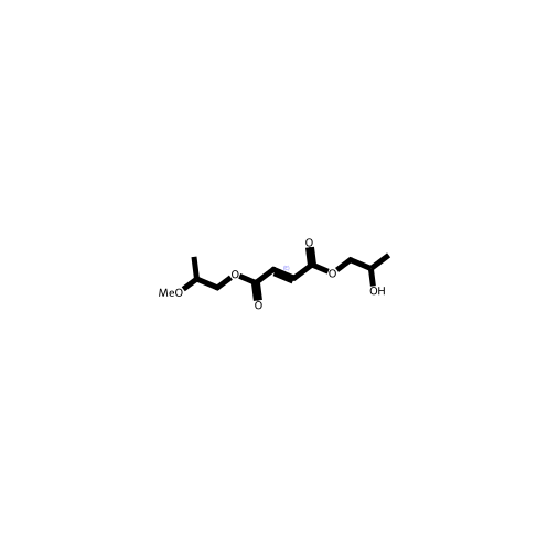 COC(C)COC(=O)/C=C/C(=O)OCC(C)O